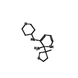 CC1(C2(N)NC=CC=C2NC2CCOCC2)CCOC1